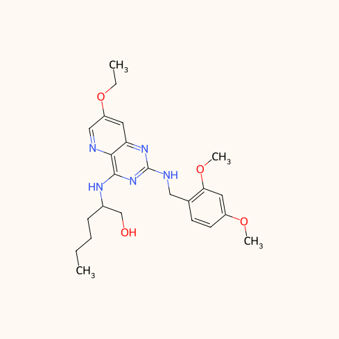 CCCCC(CO)Nc1nc(NCc2ccc(OC)cc2OC)nc2cc(OCC)cnc12